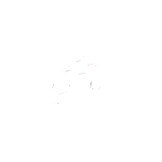 CCC[Si]1(C)C2=C(c3sc(I)cc3I)C(=O)C=CC2=Nc2ccc(O)cc21